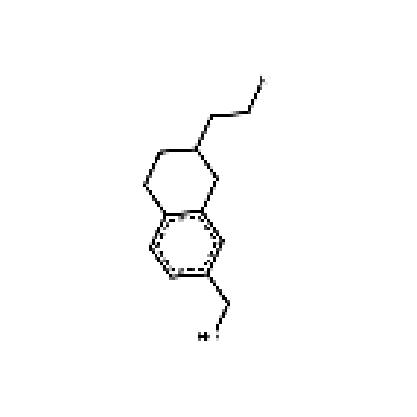 OCc1ccc2c(c1)CC(CCBr)CC2